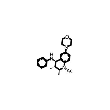 CC(=O)N1c2ccc(N3CCOCC3)cc2[C@H](Nc2ccccc2)[C@@H](C)[C@@H]1C